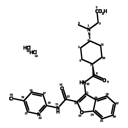 CN(CC(=O)O)[C@H]1CC[C@H](C(=O)Nc2c(C(=O)Nc3ccc(Cl)cn3)oc3ccccc23)CC1.Cl.Cl